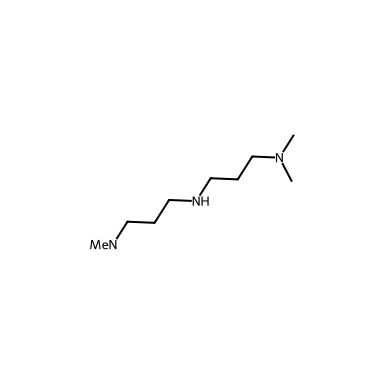 [CH2]NCCCNCCCN(C)C